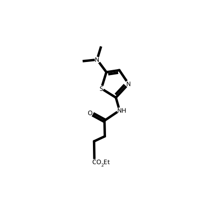 CCOC(=O)CCC(=O)Nc1ncc(N(C)C)s1